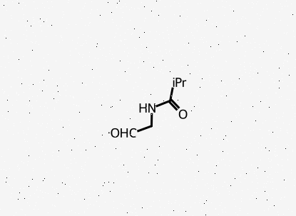 CC(C)C(=O)NC[C]=O